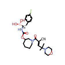 CC(C)(C=C(C#N)C(=O)N1CCCCC(OC(=O)N[C@@H](Cc2ccc(F)cc2)B(O)O)C1)N1CCOCC1